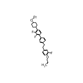 C=CCOc1ccc(CCc2ccc(-c3ccc(C4CCC(OCC)CC4)c(F)c3F)cc2)cc1F